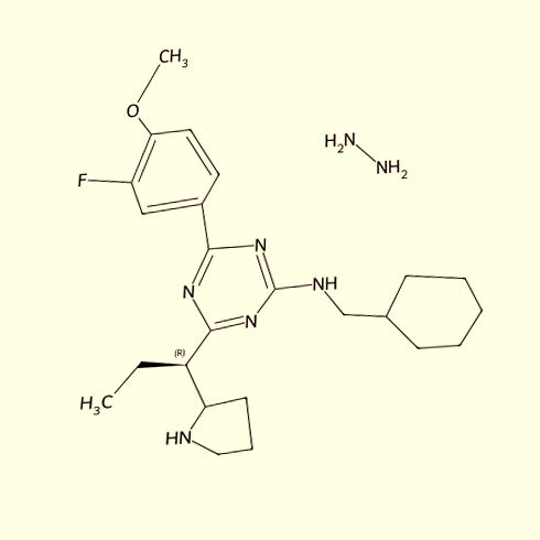 CC[C@@H](c1nc(NCC2CCCCC2)nc(-c2ccc(OC)c(F)c2)n1)C1CCCN1.NN